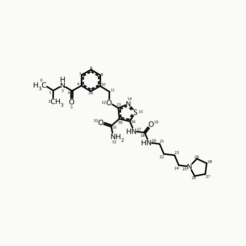 CC(C)NC(=O)c1cccc(COc2nsc(NC(=O)NCCCCN3CCCC3)c2C(N)=O)c1